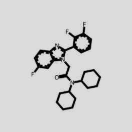 O=C(Cn1c(-c2cccc(F)c2F)nc2ccc(F)cc21)N(C1CCCCC1)C1CCCCC1